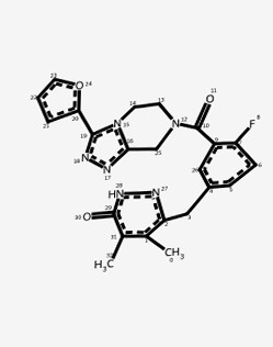 Cc1c(Cc2ccc(F)c(C(=O)N3CCn4c(nnc4-c4ccco4)C3)c2)n[nH]c(=O)c1C